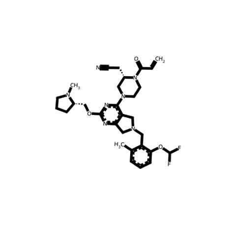 C=CC(=O)N1CCN(c2nc(OC[C@@H]3CCCN3C)nc3c2CN(Cc2c(C)cccc2OC(F)F)C3)C[C@@H]1CC#N